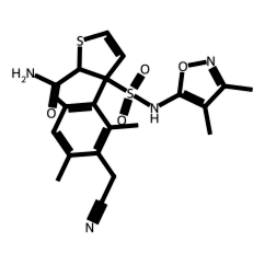 Cc1cc(C)c(C2(S(=O)(=O)Nc3onc(C)c3C)C=CSC2C(N)=O)c(C)c1CC#N